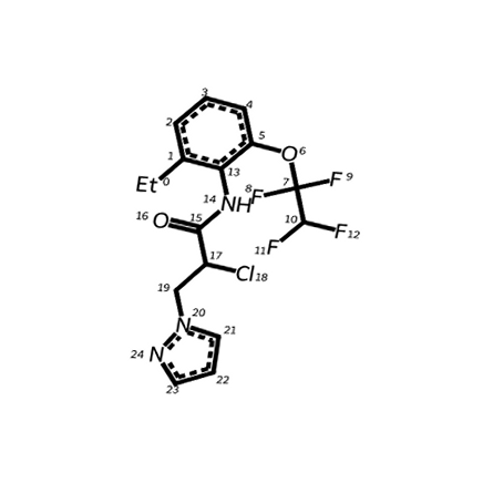 CCc1cccc(OC(F)(F)C(F)F)c1NC(=O)C(Cl)Cn1cccn1